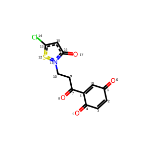 O=C1C=CC(=O)C(C(=O)CCn2sc(Cl)cc2=O)=C1